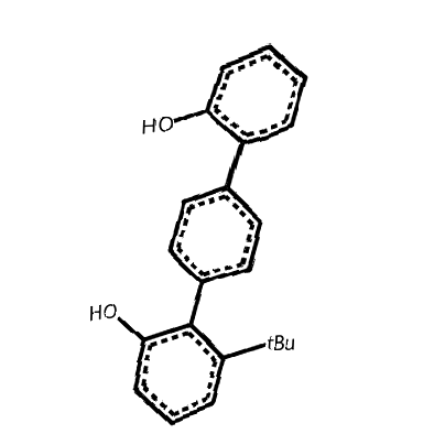 CC(C)(C)c1cccc(O)c1-c1ccc(-c2ccccc2O)cc1